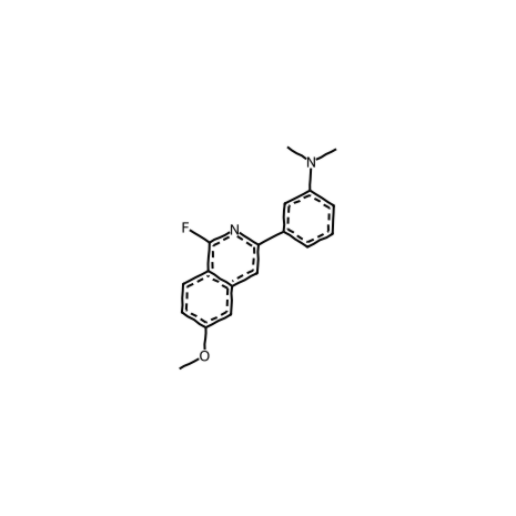 COc1ccc2c(F)nc(-c3cccc(N(C)C)c3)cc2c1